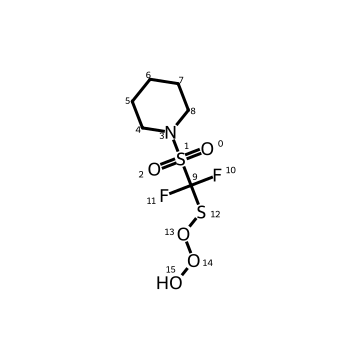 O=S(=O)(N1CCCCC1)C(F)(F)SOOO